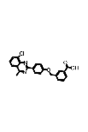 Cc1nc(-c2ccc(OCc3cccc(C(=O)O)c3)cc2)nc2c(Cl)cccc12